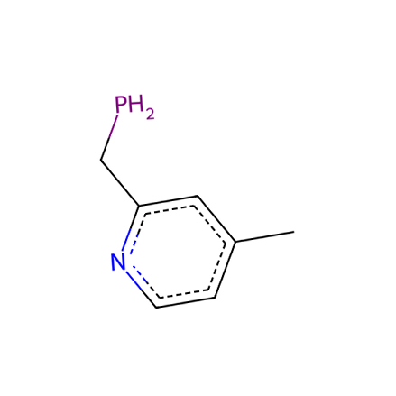 Cc1ccnc(CP)c1